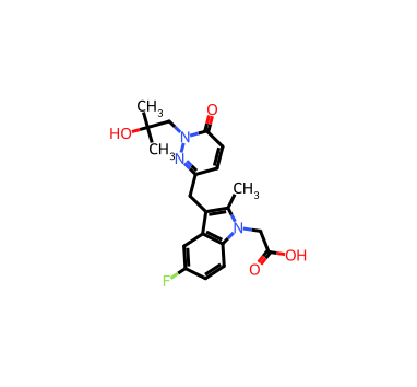 Cc1c(Cc2ccc(=O)n(CC(C)(C)O)n2)c2cc(F)ccc2n1CC(=O)O